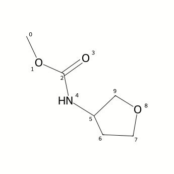 COC(=O)NC1CCOC1